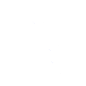 Cc1nc(C(=O)OCC2C3CC3CN2C(=O)c2nc(C)sc2-c2ccccc2)c(-c2ccccc2)s1